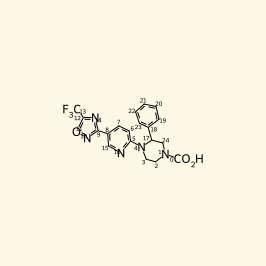 O=C(O)N1CCN(c2ccc(-c3noc(C(F)(F)F)n3)cn2)C(c2ccccc2)C1